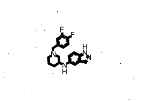 Fc1ccc(CN2CCCC(Nc3ccc4[nH]ncc4c3)C2)cc1F